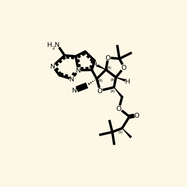 C[C@H](C(=O)OC[C@H]1O[C@@](C#N)(c2ccc3c(N)ncnn23)[C@@H]2OC(C)(C)O[C@@H]21)C(C)(C)C